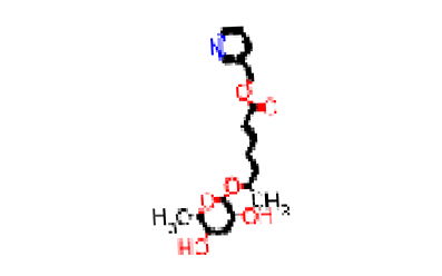 C[C@H](CC/C=C/C(=O)OCc1cccnc1)O[C@@H]1O[C@@H](C)[C@H](O)C[C@H]1O